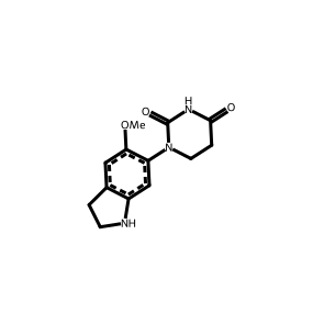 COc1cc2c(cc1N1CCC(=O)NC1=O)NCC2